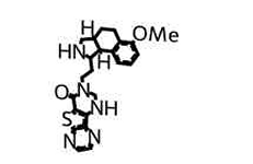 COc1cccc2c1CC[C@H]1CNC(CCN3CNc4c(sc5nccnc45)C3=O)[C@@H]21